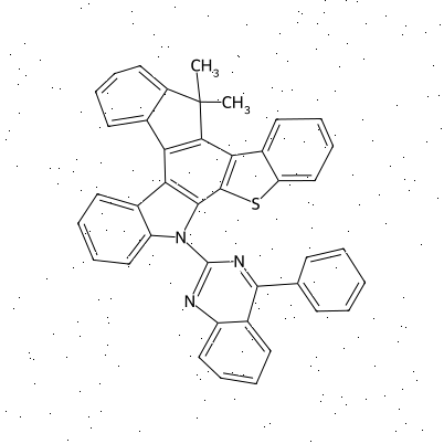 CC1(C)c2ccccc2-c2c1c1c3ccccc3sc1c1c2c2ccccc2n1-c1nc(-c2ccccc2)c2ccccc2n1